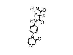 NC(=O)C(F)(F)C(=O)Nc1ccc(-n2ccncc2=O)cc1